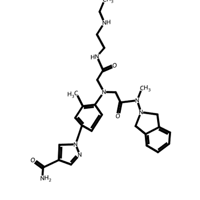 CCNCCNC(=O)CN(CC(=O)N(C)N1Cc2ccccc2C1)c1ccc(-n2cc(C(N)=O)cn2)cc1C